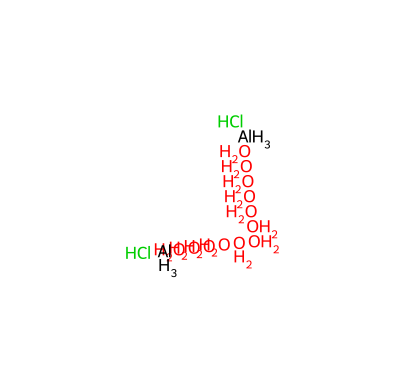 Cl.Cl.O.O.O.O.O.O.O.O.O.O.O.O.[AlH3].[AlH3]